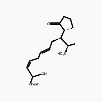 CCCCCC(O)/C=C\C/C=C/C[C@H]([C@@H](C)C(=O)O)[C@H]1CCCC1=O